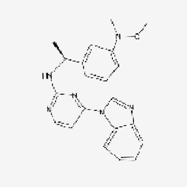 CON(C)c1cccc([C@H](C)Nc2nccc(-n3cnc4ccccc43)n2)c1